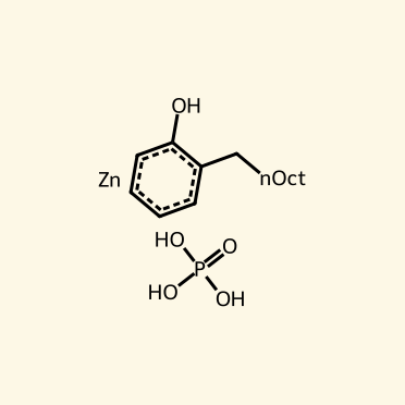 CCCCCCCCCc1ccccc1O.O=P(O)(O)O.[Zn]